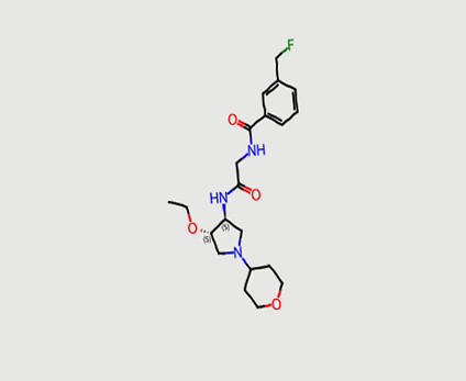 CCO[C@H]1CN(C2CCOCC2)C[C@@H]1NC(=O)CNC(=O)c1cccc(CF)c1